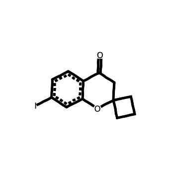 O=C1CC2(CCC2)Oc2cc(I)ccc21